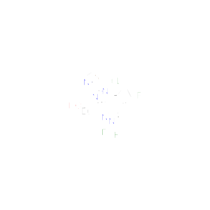 CC[C@@]1(O)CC2=C(c3ccn(C(F)F)n3)[C@H](c3ccc(F)cc3Cl)N=C(c3nccs3)N2C1